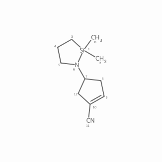 C[Si]1(C)CCCN1C1CC=C(C#N)C1